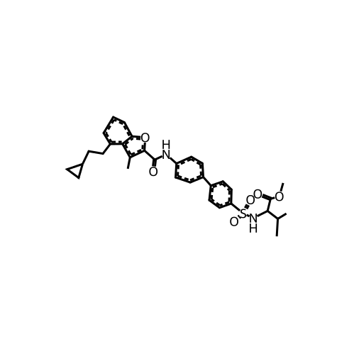 COC(=O)C(NS(=O)(=O)c1ccc(-c2ccc(NC(=O)c3oc4cccc(CCC5CC5)c4c3C)cc2)cc1)C(C)C